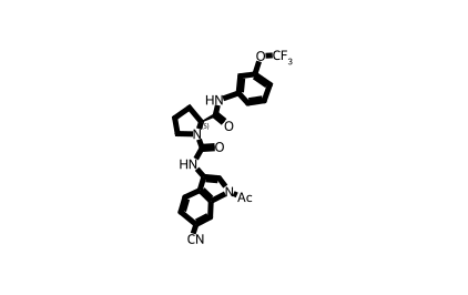 CC(=O)n1cc(NC(=O)N2CCC[C@H]2C(=O)Nc2cccc(OC(F)(F)F)c2)c2ccc(C#N)cc21